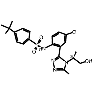 Cc1nnc(-c2cc(Cl)ccc2NS(=O)(=O)c2ccc(C(C)(C)C)cc2)n1[C@@H](C)CO